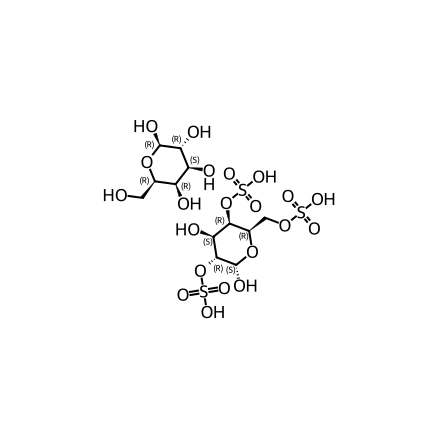 O=S(=O)(O)OC[C@H]1O[C@H](O)[C@H](OS(=O)(=O)O)[C@@H](O)[C@H]1OS(=O)(=O)O.OC[C@H]1O[C@@H](O)[C@H](O)[C@@H](O)[C@H]1O